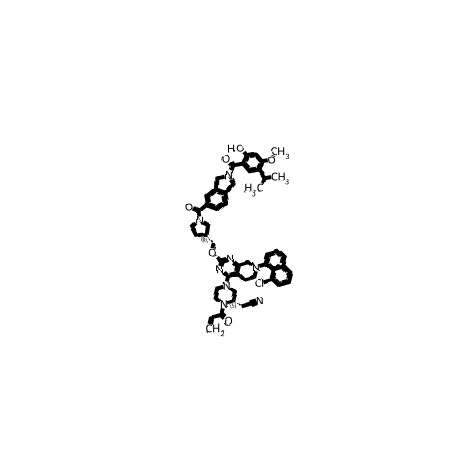 C=CC(=O)N1CCN(c2nc(OC[C@@H]3CCN(C(=O)c4ccc5c(c4)CN(C(=O)c4cc(C(C)C)c(OC)cc4O)C5)C3)nc3c2CCN(c2cccc4cccc(Cl)c24)C3)C[C@@H]1CC#N